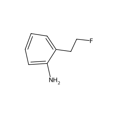 Nc1ccccc1CCF